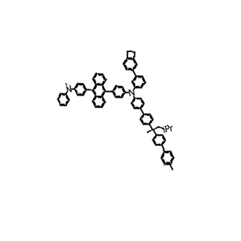 Cc1ccc(-c2ccc(C(C)(CC(C)C)c3ccc(-c4ccc(N(c5ccc(-c6c7ccccc7c(-c7ccc(N(C)c8ccccc8)cc7)c7ccccc67)cc5)c5cccc(-c6ccc7c(c6)CC7)c5)cc4)cc3)cc2)cc1